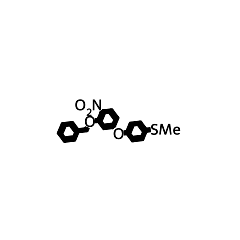 CSc1ccc(Oc2ccc([N+](=O)[O-])c(OCc3ccccc3)c2)cc1